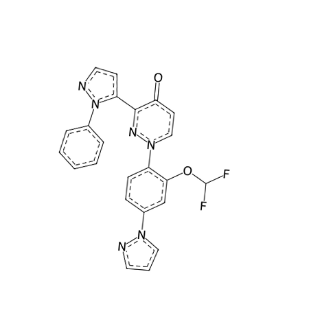 O=c1ccn(-c2ccc(-n3cccn3)cc2OC(F)F)nc1-c1ccnn1-c1ccccc1